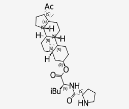 CCC(C)[C@H](NC(=O)[C@@H]1CCCN1)C(=O)O[C@@H]1CC[C@@]2(C)[C@@H](CC[C@@H]3[C@@H]2CC[C@]2(C)[C@@H](C(C)=O)CC[C@@H]32)C1